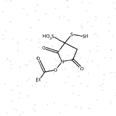 CCC(=O)ON1C(=O)CC(SS)(S(=O)(=O)O)C1=O